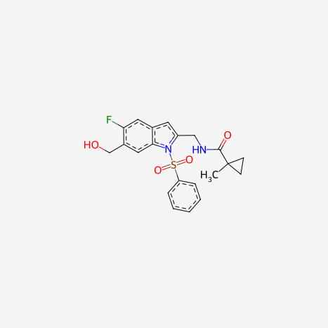 CC1(C(=O)NCc2cc3cc(F)c(CO)cc3n2S(=O)(=O)c2ccccc2)CC1